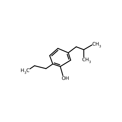 CCCc1ccc(CC(C)C)cc1O